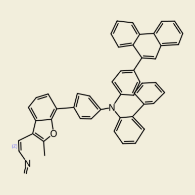 C=N/C=C\c1c(C)oc2c(-c3ccc(N(c4ccc(-c5cc6ccccc6c6ccccc56)cc4)c4ccccc4-c4ccccc4)cc3)cccc12